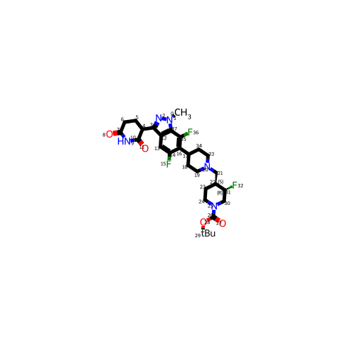 Cn1nc(C2CCC(=O)NC2=O)c2cc(F)c(C3CCN(C[C@@H]4CCN(C(=O)OC(C)(C)C)C[C@@H]4F)CC3)c(F)c21